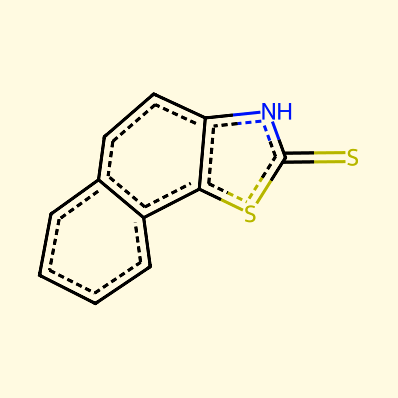 S=c1[nH]c2ccc3ccccc3c2s1